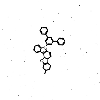 CC1CCC2=C(C1)OC1c3c(n(-c4cc(-c5ccccc5)cc(-c5ccccc5)c4)c4ccccc34)C=CC21